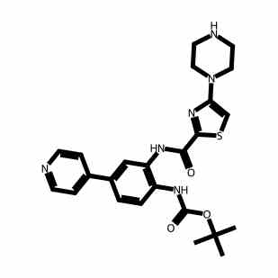 CC(C)(C)OC(=O)Nc1ccc(-c2ccncc2)cc1NC(=O)c1nc(N2CCNCC2)cs1